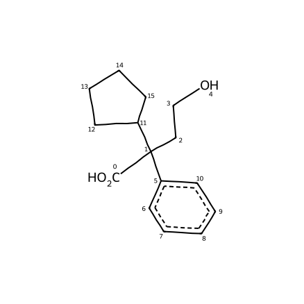 O=C(O)C(CCO)(c1ccccc1)C1CCCC1